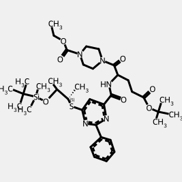 CCOC(=O)N1CCN(C(=O)C(CCC(=O)OC(C)(C)C)NC(=O)c2cc(S[C@@H](C)C(C)O[Si](C)(C)C(C)(C)C)nc(-c3ccccc3)n2)CC1